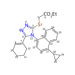 CCOC(=O)CSc1nnc(C2=CCCCC2)n1-c1ccc(C2CC2)c2ccccc12